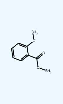 BOC(=O)c1ccccc1OB